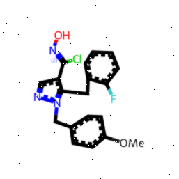 COc1ccc(Cn2ncc(/C(Cl)=N/O)c2Cc2ccccc2F)cc1